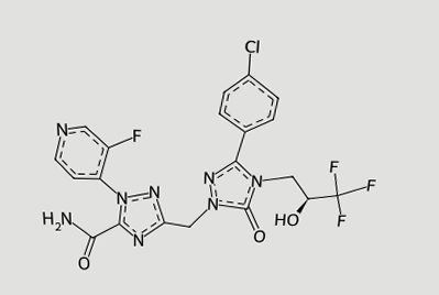 NC(=O)c1nc(Cn2nc(-c3ccc(Cl)cc3)n(C[C@H](O)C(F)(F)F)c2=O)nn1-c1ccncc1F